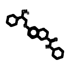 CC(COc1ccc2c(c1)CCN(C(=O)NC1CCCCC1)C2)N1CCCCC1